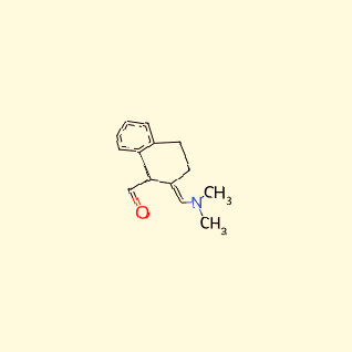 CN(C)C=C1CCc2ccccc2C1C=O